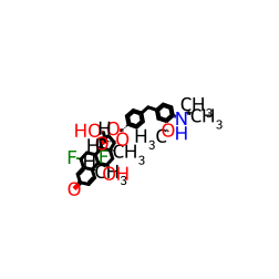 COc1cc(Cc2ccc([C@H]3O[C@@H]4C[C@H]5[C@@H]6C[C@H](F)C7=CC(=O)C=C[C@]7(C)[C@@]6(F)[C@@H](O)C[C@]5(C)[C@]4(C(=O)CO)O3)cc2)ccc1NC(C)C